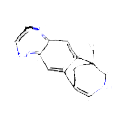 C1=C2C[C@@H](CN1)c1cc3nccnc3cc12